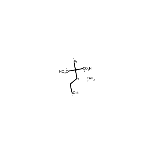 CCCCCCCCCCC(C(=O)O)(C(=O)O)C(C)C.[CaH2]